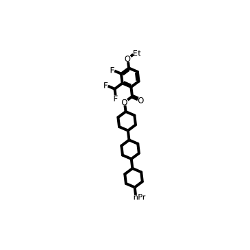 CCCC1CCC(C2CCC(C3CCC(OC(=O)c4ccc(OCC)c(F)c4C(F)F)CC3)CC2)CC1